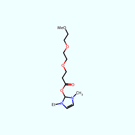 CCN1C=CN(C)C1OC(=O)CCOCCOCCOC